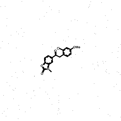 COc1ccc(CC(=O)c2ccc3oc(=O)n(C)c3c2)c(Cl)c1